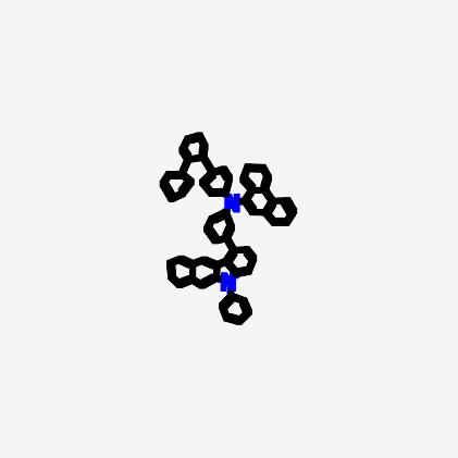 c1ccc2cc(N(c3ccc(-c4ccccc4-c4ccccc4)cc3)c3cccc(-c4cccc5c4c4cc6ccccc6cc4n5-c4ccccc4)c3)c3ccccc3c2c#1